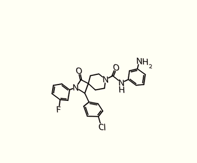 Nc1cccc(NC(=O)N2CCC3(CC2)C(=O)N(c2cccc(F)c2)C3c2ccc(Cl)cc2)c1